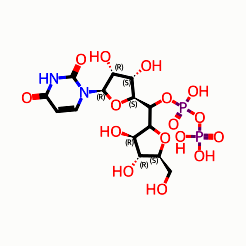 O=c1ccn([C@@H]2O[C@H](C(OP(=O)(O)OP(=O)(O)O)C3O[C@@H](CO)[C@H](O)[C@H]3O)[C@@H](O)[C@H]2O)c(=O)[nH]1